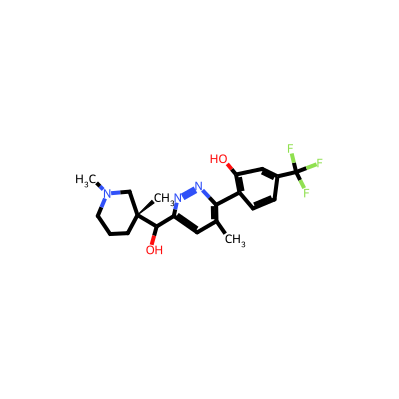 Cc1cc(C(O)[C@]2(C)CCCN(C)C2)nnc1-c1ccc(C(F)(F)F)cc1O